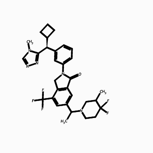 CC(c1cc2c(c(C(F)(F)F)c1)CN(c1cccc([C@@H](c3nncn3C)C3CCC3)c1)C2=O)N1CCC(F)(F)C(C)C1